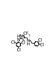 FC(F)(F)c1nc(Nc2c(Cl)cc(Cl)cc2Cl)sc1CNCCc1ccc(Cl)c(Cl)c1